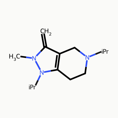 C=C1C2=C(CCN(C(C)C)C2)N(C(C)C)N1C